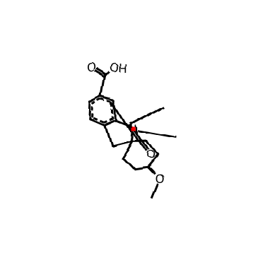 COC1CCC2(CC1)Cc1ccc(C(=O)O)cc1C21N=C(C)N(C)C1=O